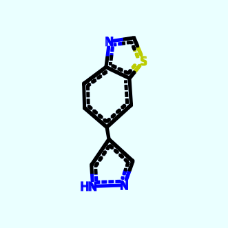 c1nc2ccc(-c3cn[nH]c3)cc2s1